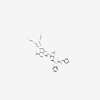 COCCOCCN(CCCC[C@@H](NC(=O)[C@@H](CC(C)C)NC(=O)[C@@H](Cc1ccccc1)NC(=O)[C@H](N)Cc1ccccc1)C(=O)N1CCC(C(=O)O)CC1)CCOCCOC